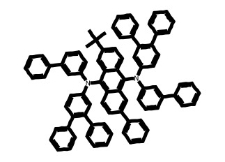 CC(C)(C)c1ccc2c(N(c3cccc(-c4ccccc4)c3)c3ccc(-c4ccccc4)c(-c4ccccc4)c3)c3cc(-c4ccccc4)ccc3c(N(c3cccc(-c4ccccc4)c3)c3ccc(-c4ccccc4)c(-c4ccccc4)c3)c2c1